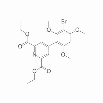 CCOC(=O)c1cc(-c2c(OC)cc(OC)c(Br)c2OC)cc(C(=O)OCC)n1